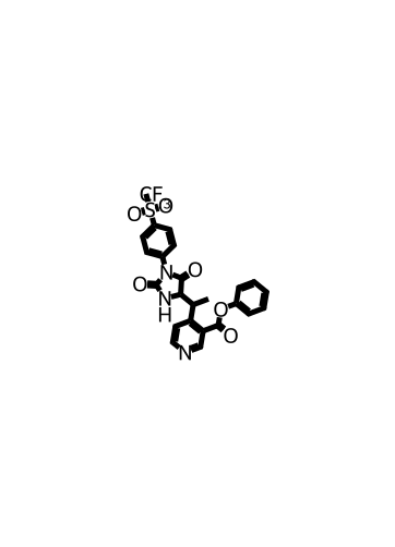 CC(c1ccncc1C(=O)Oc1ccccc1)C1NC(=O)N(c2ccc(S(=O)(=O)C(F)(F)F)cc2)C1=O